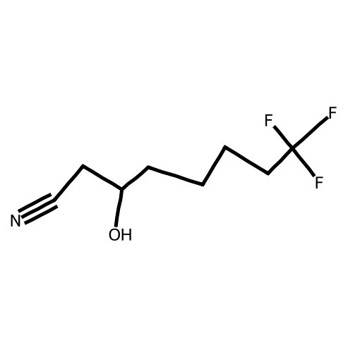 N#CCC(O)CCCCC(F)(F)F